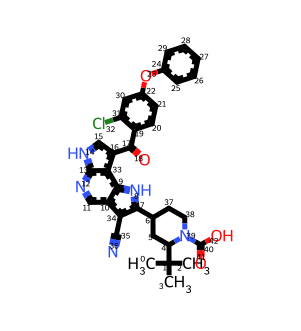 CC(C)(C)C1CC(c2[nH]c3c(cnc4[nH]cc(C(=O)c5ccc(Oc6ccccc6)cc5Cl)c43)c2C#N)CCN1C(=O)O